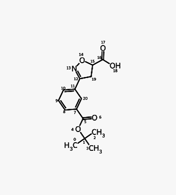 CC(C)(C)OC(=O)c1cccc(C2=NOC(C(=O)O)C2)c1